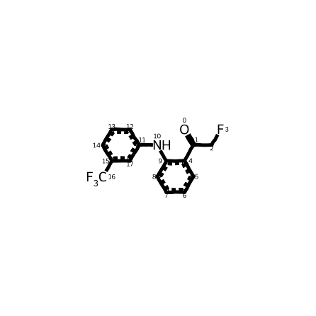 O=C(CF)c1ccccc1Nc1cccc(C(F)(F)F)c1